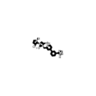 CCCCc1cn(-c2c(C(F)(F)F)ccn2CC)c(=O)n1Cc1cc(-c2cccc(-c3nnn[nH]3)c2)ccn1